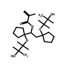 C=C(C)C(=O)OC(CC1(OC(C)(C)C(C)(O)C(F)(F)F)CCCC1)C1(OC(C)(C)C(C)(O)C(F)(F)F)CCCC1